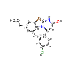 Cc1cc(CC(=O)O)cc2sc3nc(=O)cc(-c4ccc(Cl)cc4)n3c12